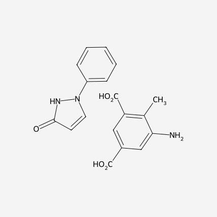 Cc1c(N)cc(C(=O)O)cc1C(=O)O.O=c1ccn(-c2ccccc2)[nH]1